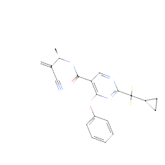 C=C(C#N)[C@@H](C)NC(=O)c1cnc(C(F)(F)C2CC2)nc1Oc1ccccc1